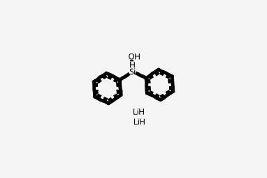 O[SiH](c1ccccc1)c1ccccc1.[LiH].[LiH]